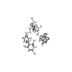 CCO[Si](CCCn1cc[n+](-c2c(C)cc(C)cc2C)c1)(OCC)OCC.O=S(=O)([O-])C(F)(F)F